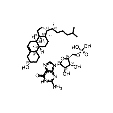 CC(C)CCC[C@@H](C)[C@H]1CC[C@H]2[C@@H]3CC=C4C[C@@H](O)CC[C@]4(C)[C@H]3CC[C@]12C.Nc1nc2c(ncn2[C@@H]2O[C@H](COP(=O)(O)O)[C@@H](O)[C@H]2O)c(=O)[nH]1